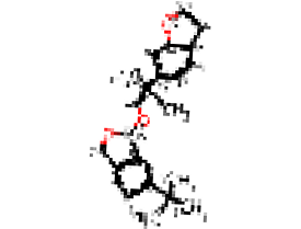 CC(C)(C)c1ccc2c(c1)B(OCC(C)(C)c1ccc3c(c1)OCC3)OC2